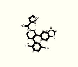 O=C(c1ccon1)N1CCC(c2cc(F)ccc2Cl)=C(c2ccc3c(c2)OCO3)C1